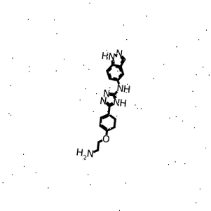 NCCOC1=CC=C(c2nnc(Nc3ccc4[nH]ncc4c3)[nH]2)CC1